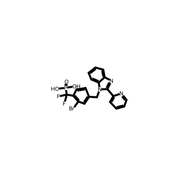 O=P(O)(O)C(F)(F)c1ccc(Cn2c(-c3ccccn3)nc3ccccc32)cc1Br